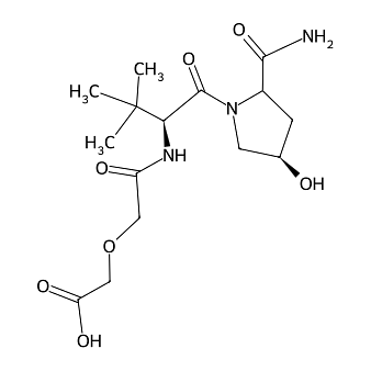 CC(C)(C)[C@H](NC(=O)COCC(=O)O)C(=O)N1C[C@H](O)CC1C(N)=O